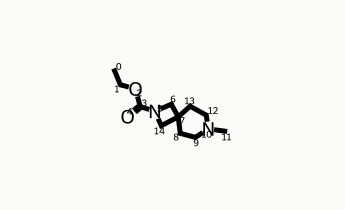 CCOC(=O)N1CC2(CCN(C)CC2)C1